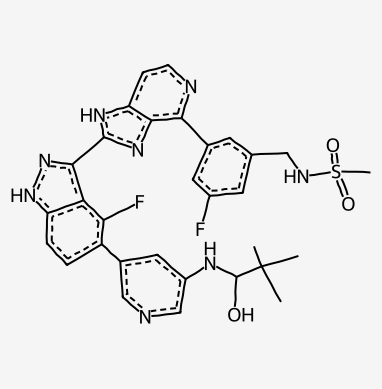 CC(C)(C)C(O)Nc1cncc(-c2ccc3[nH]nc(-c4nc5c(-c6cc(F)cc(CNS(C)(=O)=O)c6)nccc5[nH]4)c3c2F)c1